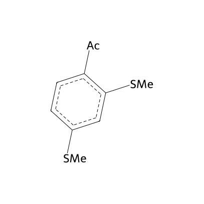 CSc1ccc(C(C)=O)c(SC)c1